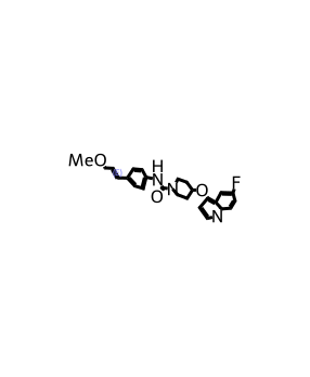 COC/C=C/c1ccc(NC(=O)N2CCC(Oc3ccnc4ccc(F)cc34)CC2)cc1